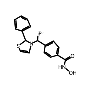 CC(C)C(c1ccc(C(=O)NO)cc1)N1C=CSC1c1ccccc1